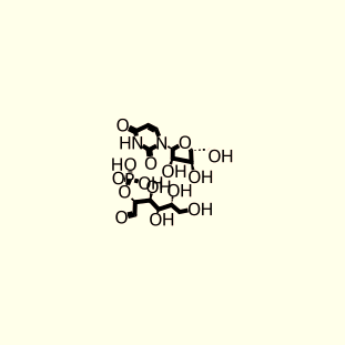 O=C[C@H](OP(=O)(O)O)[C@@H](O)[C@@H](O)[C@H](O)CO.O=c1ccn([C@@H]2O[C@H](CO)[C@@H](O)[C@H]2O)c(=O)[nH]1